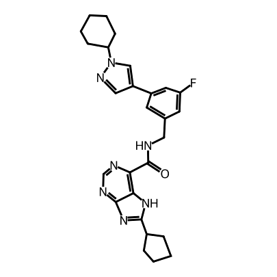 O=C(NCc1cc(F)cc(-c2cnn(C3CCCCC3)c2)c1)c1ncnc2nc(C3CCCC3)[nH]c12